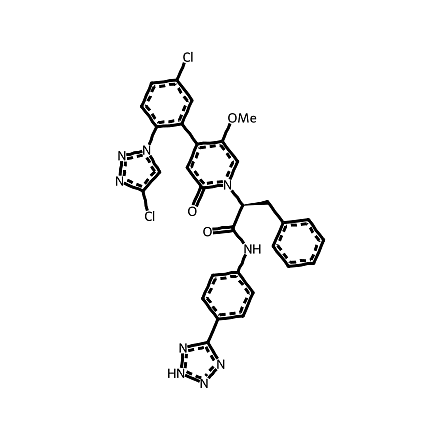 COc1cn([C@@H](Cc2ccccc2)C(=O)Nc2ccc(-c3nn[nH]n3)cc2)c(=O)cc1-c1cc(Cl)ccc1-n1cc(Cl)nn1